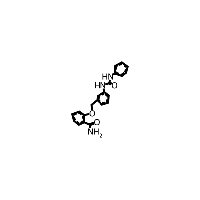 NC(=O)c1ccccc1OCc1cccc(NC(=O)Nc2ccccc2)c1